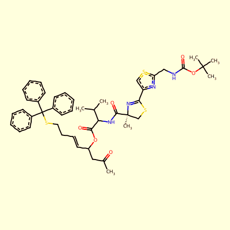 CC(=O)CC(/C=C/CCSC(c1ccccc1)(c1ccccc1)c1ccccc1)OC(=O)C(NC(=O)[C@]1(C)CSC(c2csc(CNC(=O)OC(C)(C)C)n2)=N1)C(C)C